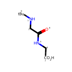 CC(C)(C)NCC(=O)NCC(=O)O